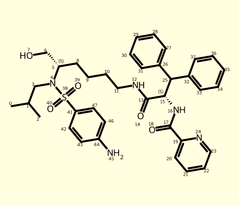 CC(C)CN([C@H](CO)CCCCNC(=O)[C@@H](NC(=O)c1ccccn1)C(c1ccccc1)c1ccccc1)S(=O)(=O)c1ccc(N)cc1